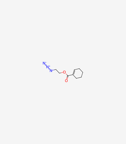 [N-]=[N+]=NCCOC(=O)C1=CCCCC1